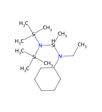 CCN(C1CCCCC1)[SiH](C)N([Si](C)(C)C)[Si](C)(C)C